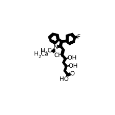 CC(C)n1c(/C=C/[C@@H](O)C[C@@H](O)CC(=O)O)c(-c2ccc(F)cc2)c2ccccc21.[CaH2]